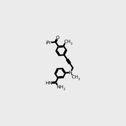 Cc1cc(C#CCN(C)c2cccc(C(=N)N)c2)ccc1C(=O)C(C)C